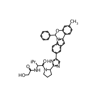 Cc1ccc2c(c1)OC(c1ccccc1)n1c-2cc2cc(-c3cnc(C4CCCN4C(=O)C(NC(=O)CO)C(C)C)[nH]3)ccc21